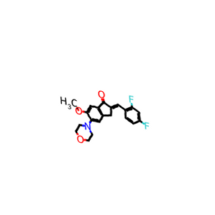 COc1cc2c(cc1N1CCOCC1)CC(=Cc1ccc(F)cc1F)C2=O